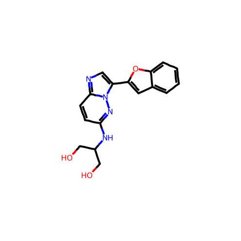 OCC(CO)Nc1ccc2ncc(-c3cc4ccccc4o3)n2n1